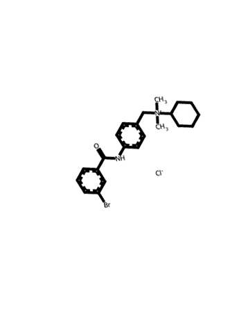 C[N+](C)(Cc1ccc(NC(=O)c2cccc(Br)c2)cc1)C1CCCCC1.[Cl-]